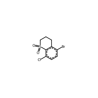 O=S1(=O)CCCc2c(Br)ccc(Cl)c21